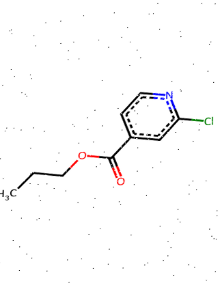 CCCOC(=O)c1ccnc(Cl)c1